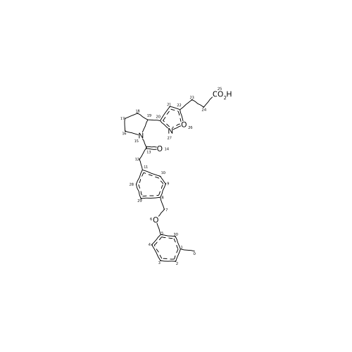 Cc1cccc(OCc2ccc(CC(=O)N3CCCC3c3cc(CCC(=O)O)on3)cc2)c1